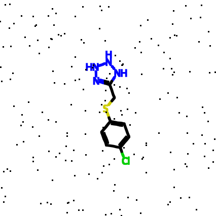 Clc1ccc(SCC2=NNNN2)cc1